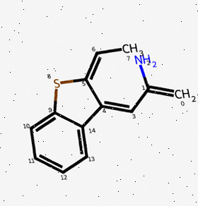 C=C(N)/C=c1\c(=C/C)sc2ccccc12